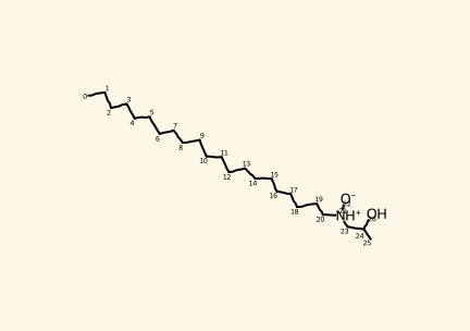 CCCCCCCCCCCCCCCCCCCCC[NH+]([O-])CC(C)O